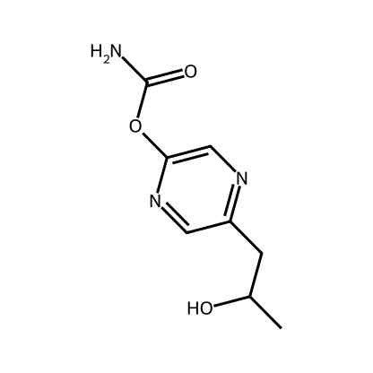 CC(O)Cc1cnc(OC(N)=O)cn1